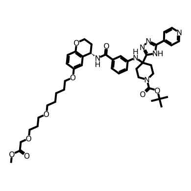 COC(=O)COCCCOCCCCCOc1ccc2c(c1)[C@@H](NC(=O)c1cccc(NC3(c4nnc(-c5ccncc5)[nH]4)CCN(C(=O)OC(C)(C)C)CC3)c1)CCO2